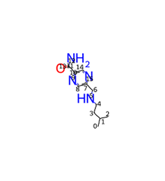 CC(C)CCNCc1cnc(C(N)=O)cn1